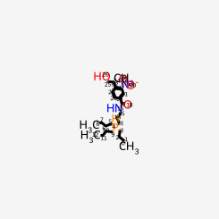 CCCC[PH](CCCC)(CCCC)CCCNC(=O)c1ccc(C(C)CO)c([N+](=O)[O-])c1